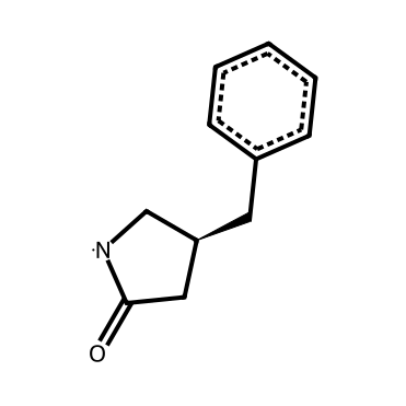 O=C1C[C@H](Cc2ccccc2)C[N]1